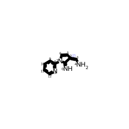 N=C1/C(=C\N)C=CN1c1ccccn1